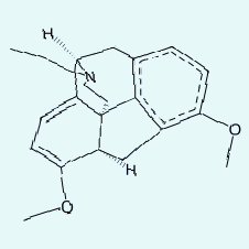 COC1=CC=C2[C@H]3Cc4ccc(OC)c5c4[C@@]2(CCN3C)[C@H]1C5